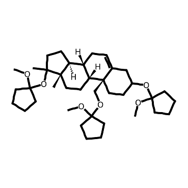 COC1(OC[C@]23CCC(OC4(OC)CCCC4)CC2=CC[C@@H]2[C@H]3CC[C@@]3(C)[C@H]2CCC3(C)OC2(OC)CCCC2)CCCC1